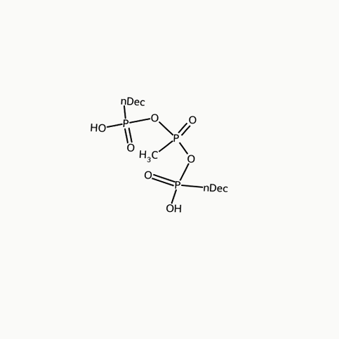 CCCCCCCCCCP(=O)(O)OP(C)(=O)OP(=O)(O)CCCCCCCCCC